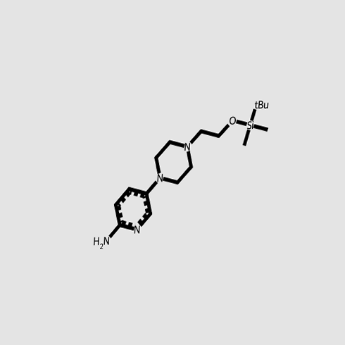 CC(C)(C)[Si](C)(C)OCCN1CCN(c2ccc(N)nc2)CC1